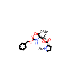 COC(=O)[C@@H](NC(=O)OCc1ccccc1)[C@H](C)OC(=O)[C@@H]1CCCN1C(C)=O